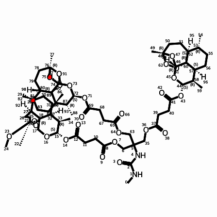 CNC(=O)NC(COC(=O)CCC(=O)O[C@@H]1OC[C@@]23OO[C@@](C)(OC)CC[C@H]2[C@H](C)CC[C@H]3[C@H]1C)(COC(=O)CCC(=O)O[C@@H]1O[C@@H]2O[C@@]3(C)CC[C@H]4[C@H](C)CC[C@@H]([C@H]1C)[C@@]24OO3)COC(=O)CCC(=O)O[C@@H]1O[C@@H]2O[C@@]3(C)CC[C@H]4[C@H](C)CC[C@@](C)([C@H]1C)[C@@]24OO3